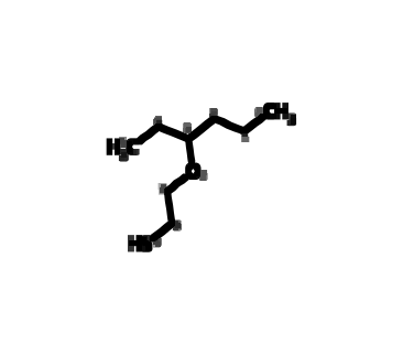 CCCC(CC)OCCS